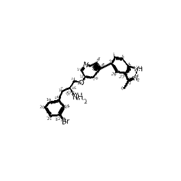 Cc1n[nH]c2ccc(-c3cncc(OC[C@@H](N)Cc4cccc(Br)c4)c3)cc12